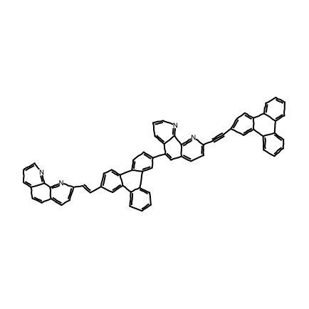 C(#Cc1ccc2cc(-c3ccc4c5ccc(/C=C/c6ccc7ccc8cccnc8c7n6)cc5c5ccccc5c4c3)c3cccnc3c2n1)c1ccc2c3ccccc3c3ccccc3c2c1